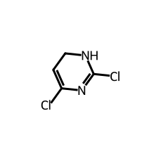 ClC1=CCNC(Cl)=N1